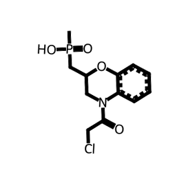 CP(=O)(O)CC1CN(C(=O)CCl)c2ccccc2O1